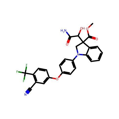 COC(=O)C1(C(O)C(N)=O)CN(c2ccc(Oc3ccc(C(F)(F)F)c(C#N)c3)cc2)c2ccccc21